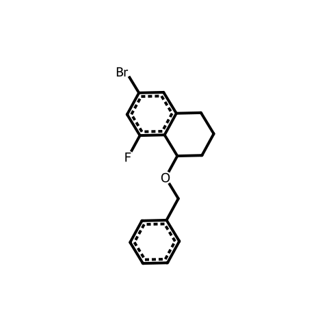 Fc1cc(Br)cc2c1C(OCc1ccccc1)CCC2